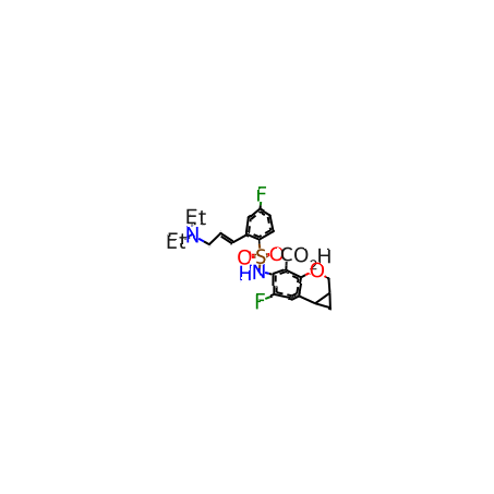 CCN(CC)CC=Cc1cc(F)ccc1S(=O)(=O)Nc1c(F)cc2c(c1C(=O)O)OCC1CC21